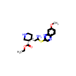 CCOC(=O)[C@@H]1CNCC[C@@H]1CC(N)Sc1cnc2ccc(OC)cc2n1